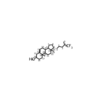 CC(CCC[C@H]1CCC2C3CC=C4CC(O)CCC4(C)C3CCC21C)C(F)(F)F